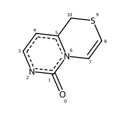 O=c1nccc2n1C=CSC2